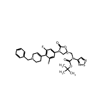 CC(C)(C)OC(=O)N(C[C@H]1CN(c2cc(F)c(C3=CCN(Cc4ccccc4)CC3)c(F)c2)C(=O)O1)c1cnsn1